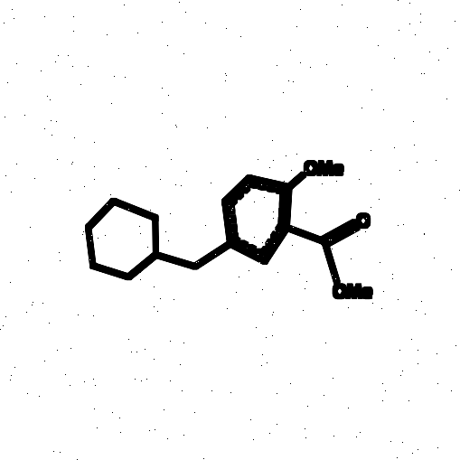 COC(=O)c1cc(CC2CCCCC2)ccc1OC